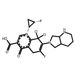 O=C(O)c1cn([C@@H]2C[C@@H]2F)c2c(c1=O)CC(F)=C(N1CC3CCCNC3C1)C2(Cl)Cl